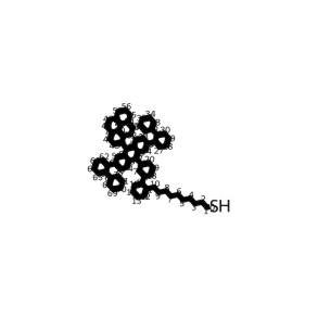 SCCCCCCCCCCc1ccccc1-c1cccc(-c2c3cc(-c4ccccc4-c4ccccc4)ccc3c(-c3ccc4ccc5c6c4c3CC=C6CC=C5)c3cc(-c4ccccc4-c4ccccc4)ccc23)c1